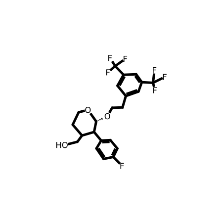 OCC1CCO[C@H](OCCc2cc(C(F)(F)F)cc(C(F)(F)F)c2)C1c1ccc(F)cc1